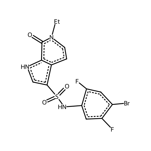 CCn1ccc2c(S(=O)(=O)Nc3cc(F)c(Br)cc3F)c[nH]c2c1=O